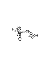 COc1cc(CN2CC(c3ccc(-n4c(-c5cccnc5N)nc5ccc(-c6ccccc6)nc54)cc3)C2)ccc1C(=O)O